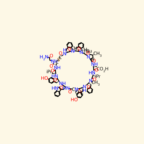 CCCC[C@H]1C(=O)N2C[C@H](C)C[C@@H]2C(=O)N[C@@H](CC(=O)O)C(=O)N[C@@H](C(C)C)C(=O)N(C)[C@@H](Cc2ccccc2)C(=O)N[C@@H](Cc2ccc(O)cc2)C(=O)N(C)CC(=O)N[C@@H](Cc2c[nH]c3ccccc23)C(=O)N[C@@H](Cc2ccc(O)cc2)C(=O)N[C@@H](CC(C)C)C(=O)N[C@H](C(=O)NCC(N)=O)CSCC(=O)N[C@@H](Cc2ccccc2)C(=O)N(C)[C@@H](Cc2ccccc2)C(=O)N1C